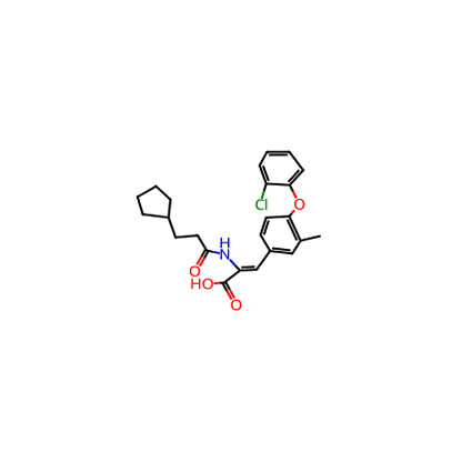 Cc1cc(/C=C(\NC(=O)CCC2CCCC2)C(=O)O)ccc1Oc1ccccc1Cl